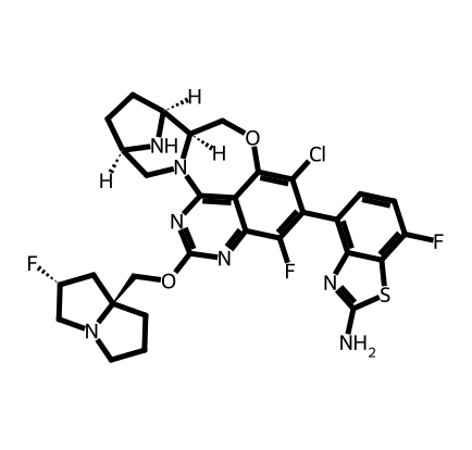 Nc1nc2c(-c3c(Cl)c4c5c(nc(OC[C@@]67CCCN6C[C@H](F)C7)nc5c3F)N3C[C@H]5CC[C@H](N5)[C@H]3CO4)ccc(F)c2s1